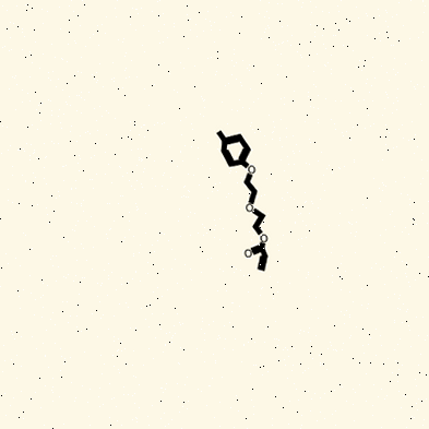 C=CC(=O)OCCOCCOc1ccc(C)cc1